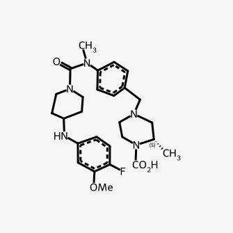 COc1cc(NC2CCN(C(=O)N(C)c3ccc(CN4CCN(C(=O)O)[C@@H](C)C4)cc3)CC2)ccc1F